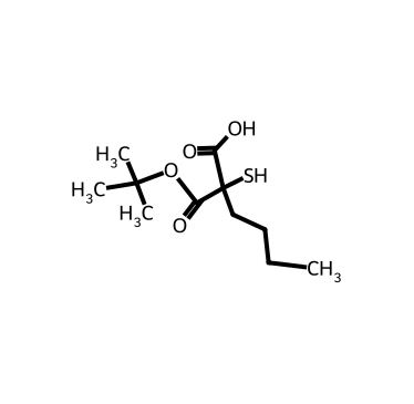 CCCCC(S)(C(=O)O)C(=O)OC(C)(C)C